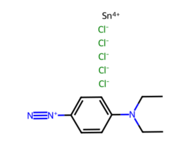 CCN(CC)c1ccc([N+]#N)cc1.[Cl-].[Cl-].[Cl-].[Cl-].[Cl-].[Sn+4]